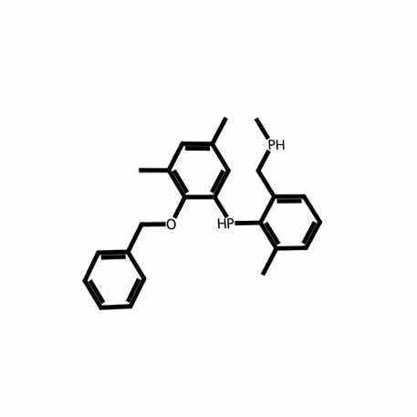 CPCc1cccc(C)c1Pc1cc(C)cc(C)c1OCc1ccccc1